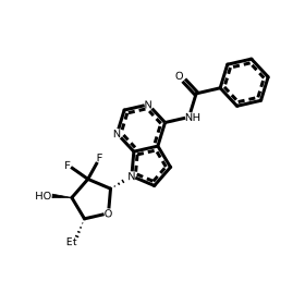 CC[C@H]1O[C@@H](n2ccc3c(NC(=O)c4ccccc4)ncnc32)C(F)(F)[C@@H]1O